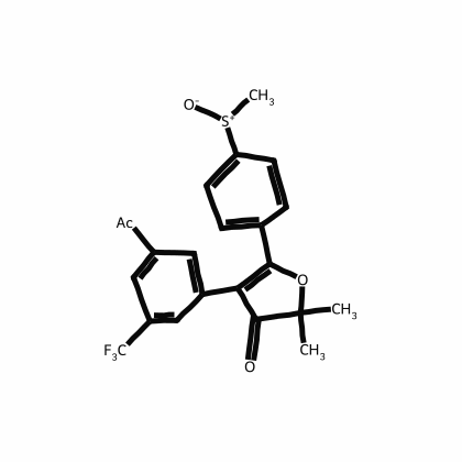 CC(=O)c1cc(C2=C(c3ccc([S+](C)[O-])cc3)OC(C)(C)C2=O)cc(C(F)(F)F)c1